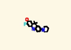 CC1(C)C2=CC(=O)C(F)=CC2=Nc2ccc(N3CCCCC3)cc21